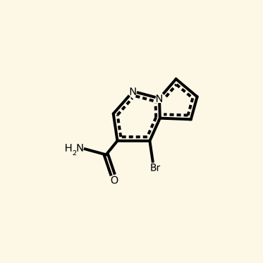 NC(=O)c1cnn2cccc2c1Br